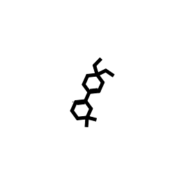 CCC1(CC)CC=C(C2=[C]CCC(C)(C)C2)CC1